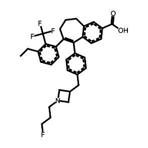 CCc1cccc(C2=C(c3ccc(CC4CN(CCCF)C4)cc3)c3ccc(C(=O)O)cc3CCC2)c1C(F)(F)F